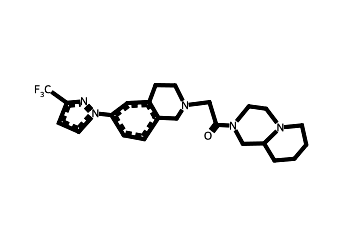 O=C(CN1CCc2cc(-n3ccc(C(F)(F)F)n3)ccc2C1)N1CCN2CCCCC2C1